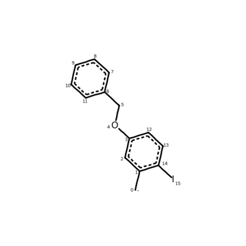 [CH2]c1cc(OCc2ccccc2)ccc1I